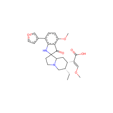 CC[C@@H]1CN2CCC3(Nc4c(-c5ccoc5)ccc(OC)c4C3=O)C2C[C@@H]1/C(=C\OC)C(=O)O